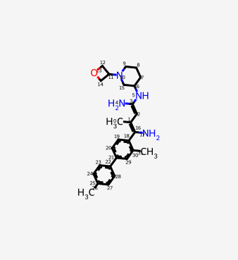 CC(/C=C(\N)NC1CCCN(C2COC2)C1)=C(/N)c1ccc(-c2ccc(C)cc2)cc1C